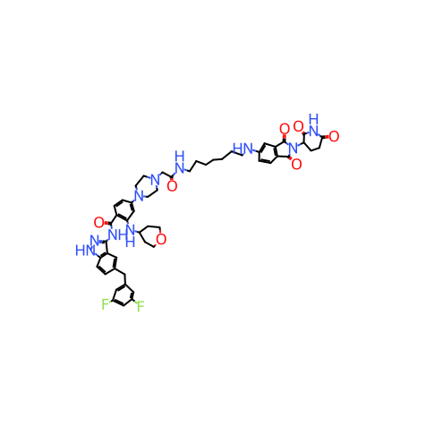 O=C(CN1CCN(c2ccc(C(=O)Nc3n[nH]c4ccc(Cc5cc(F)cc(F)c5)cc34)c(NC3CCOCC3)c2)CC1)NCCCCCCCNc1ccc2c(c1)C(=O)N(C1CCC(=O)NC1=O)C2=O